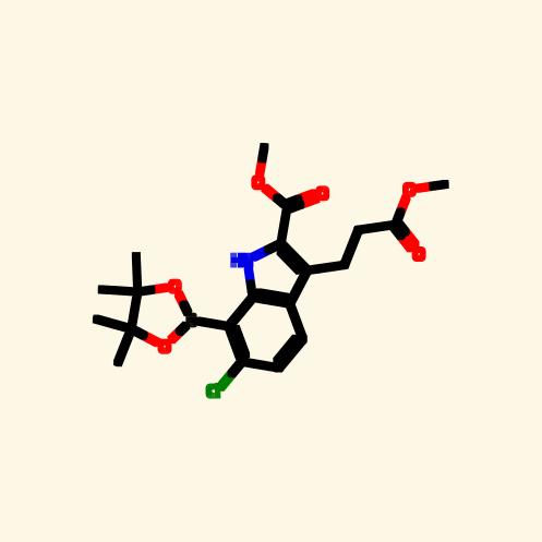 COC(=O)CCc1c(C(=O)OC)[nH]c2c(B3OC(C)(C)C(C)(C)O3)c(Cl)ccc12